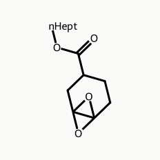 CCCCCCCOC(=O)C1CCC23OC2(C1)O3